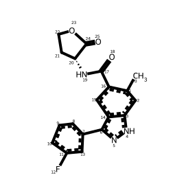 Cc1cc2[nH]nc(-c3cccc(F)c3)c2cc1C(=O)N[C@@H]1CCOC1=O